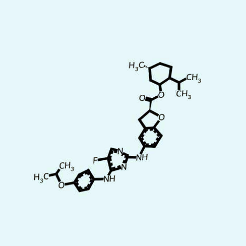 CC(C)Oc1ccc(Nc2nc(Nc3ccc4c(c3)C[C@@H](C(=O)OC3C[C@H](C)CCC3C(C)C)O4)ncc2F)cc1